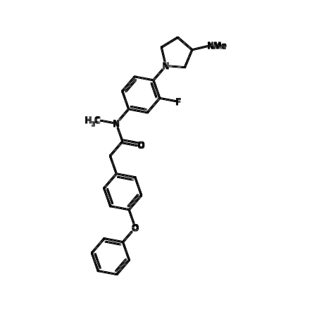 CNC1CCN(c2ccc(N(C)C(=O)Cc3ccc(Oc4ccccc4)cc3)cc2F)C1